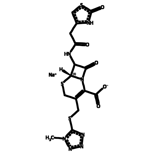 Cn1nnnc1SCC1=C(C(=O)[O-])N2C(=O)C(NC(=O)Cc3csc(=O)[nH]3)[C@H]2SC1.[Na+]